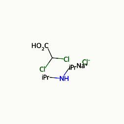 CC(C)NC(C)C.O=C(O)C(Cl)Cl.[Cl-].[Na+]